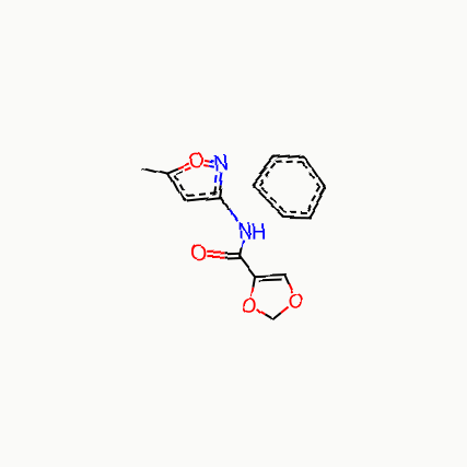 Cc1cc(NC(=O)C2=COCO2)no1.c1ccccc1